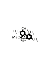 COC(=O)C1(C(C)=O)CC(C)C(C)CC1c1c(C)cc(C)cc1C